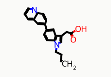 C=CCCn1cc(CC(=O)O)c2cc(-c3ccc4ncccc4c3)ccc21